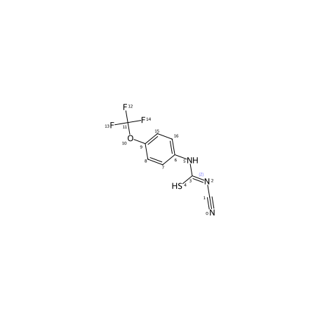 N#C/N=C(\S)Nc1ccc(OC(F)(F)F)cc1